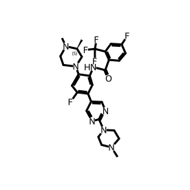 C[C@H]1CN(c2cc(F)c(-c3cnc(N4CCN(C)CC4)nc3)cc2NC(=O)c2ccc(F)cc2C(F)(F)F)CCN1C